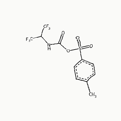 Cc1ccc(S(=O)(=O)OC(=O)NC(C(F)(F)F)C(F)(F)F)cc1